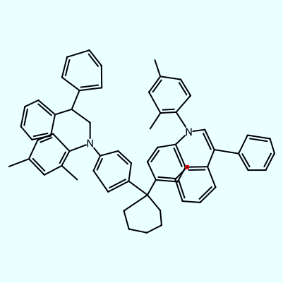 Cc1ccc(N(C=C(c2ccccc2)c2ccccc2)c2ccc(C3(c4ccc(N(CC(c5ccccc5)c5ccccc5)c5ccc(C)cc5C)cc4)CCCCC3)cc2)c(C)c1